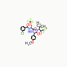 COc1ccc([C@H](NC(=O)[C@H](COC(F)(F)F)NC(=O)c2cccc(Cl)c2)C(=O)N[C@H](C(=O)C(F)(F)F)C(C)C)cc1